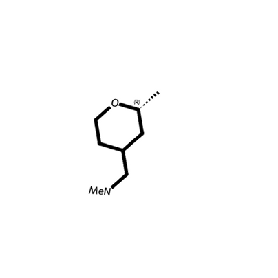 CNCC1CCO[C@H](C)C1